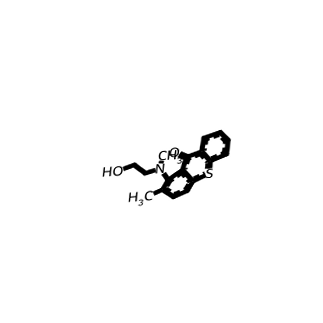 Cc1ccc2sc3ccccc3c(=O)c2c1N(C)CCO